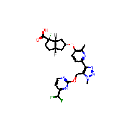 Cc1nc(-c2nnn(C)c2COc2nccc(C(F)F)n2)ccc1O[C@@H]1C[C@@H]2CC[C@](F)(C(=O)O)[C@@H]2C1